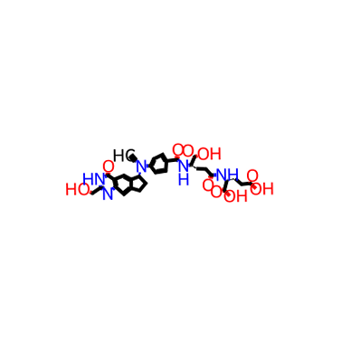 C#CN(c1ccc(C(=O)N[C@@H](CCC(=O)N[C@H](CCC(=O)O)C(=O)O)C(=O)O)cc1)[C@H]1CCc2cc3nc(CO)[nH]c(=O)c3cc21